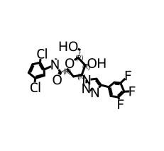 CN(C(=O)[C@H]1C[C@@H](n2cc(-c3cc(F)c(F)c(F)c3)nn2)[C@@H](O)[C@@H](CO)O1)c1cc(Cl)ccc1Cl